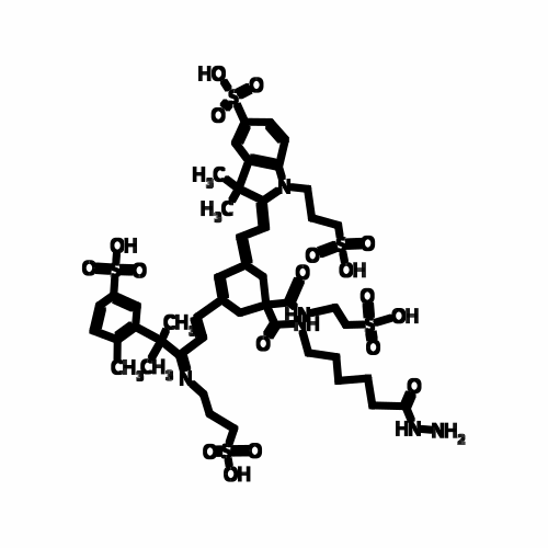 Cc1ccc(S(=O)(=O)O)cc1C(C)(C)C(/C=C/C1=CC(=C/C=C2/N(CCCS(=O)(=O)O)c3ccc(S(=O)(=O)O)cc3C2(C)C)/CC(C(=O)NCCCCCC(=O)NN)(C(=O)NCCS(=O)(=O)O)C1)=N/CCCS(=O)(=O)O